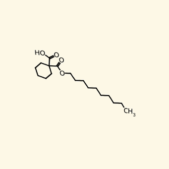 CCCCCCCCCCOC(=O)C1(C(=O)O)CCCCC1